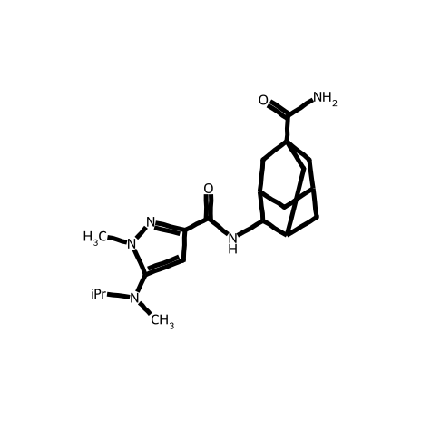 CC(C)N(C)c1cc(C(=O)NC2C3CC4CC2CC(C(N)=O)(C4)C3)nn1C